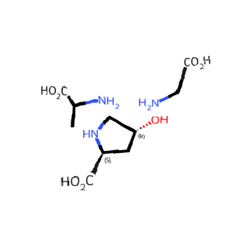 CC(N)C(=O)O.NCC(=O)O.O=C(O)[C@@H]1C[C@@H](O)CN1